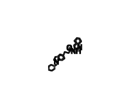 O=C(CCc1ccc2c(c1)CCN2CC1CCCCC1)Nc1cnc2ccccc2c1